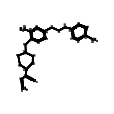 C=CC(=O)N1CCN(Cc2ccc(CCOc3ccc(C)cc3)cc2C)CC1